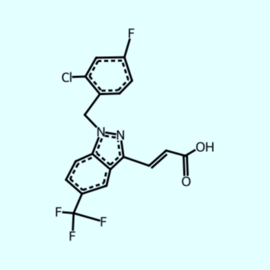 O=C(O)C=Cc1nn(Cc2ccc(F)cc2Cl)c2ccc(C(F)(F)F)cc12